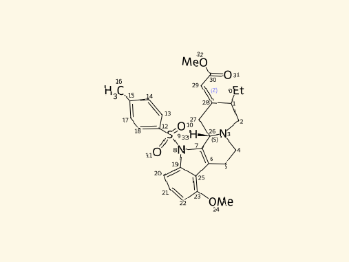 CCC1CN2CCc3c(n(S(=O)(=O)c4ccc(C)cc4)c4cccc(OC)c34)[C@@H]2C/C1=C/C(=O)OC